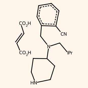 CC(C)CN(Cc1ccccc1C#N)C1CCNCC1.O=C(O)C=CC(=O)O